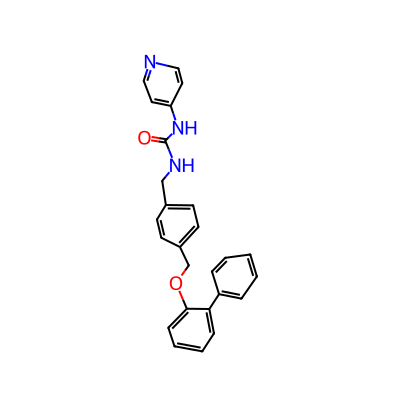 O=C(NCc1ccc(COc2ccccc2-c2ccccc2)cc1)Nc1ccncc1